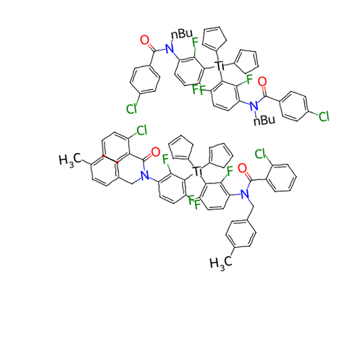 CCCCN(C(=O)c1ccc(Cl)cc1)c1ccc(F)[c]([Ti]([C]2=CC=CC2)([C]2=CC=CC2)[c]2c(F)ccc(N(CCCC)C(=O)c3ccc(Cl)cc3)c2F)c1F.Cc1ccc(CN(C(=O)c2ccccc2Cl)c2ccc(F)[c]([Ti]([C]3=CC=CC3)([C]3=CC=CC3)[c]3c(F)ccc(N(Cc4ccc(C)cc4)C(=O)c4ccccc4Cl)c3F)c2F)cc1